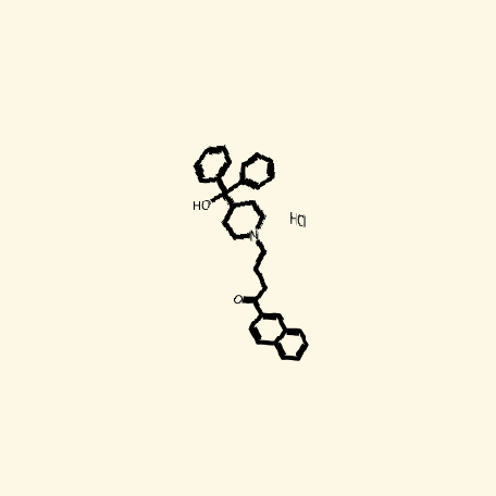 Cl.O=C(CCCN1CCC(C(O)(c2ccccc2)c2ccccc2)CC1)c1ccc2ccccc2c1